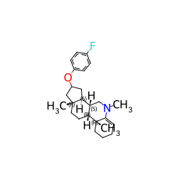 CN1C[C@@H]2[C@@H](CC[C@]3(C)CC(Oc4ccc(F)cc4)C[C@@H]23)[C@@]2(C)CCCC=C12